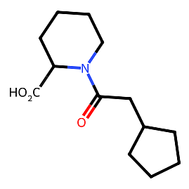 O=C(O)C1CCCCN1C(=O)CC1CCCC1